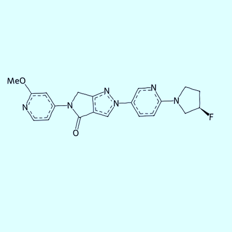 COc1cc(N2Cc3nn(-c4ccc(N5CC[C@@H](F)C5)nc4)cc3C2=O)ccn1